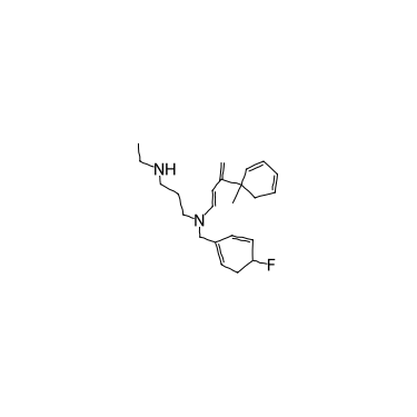 C=C(/C=C/N(CCCNCC)CC1=CCC(F)C=C1)C1(C)C=CC=CC1